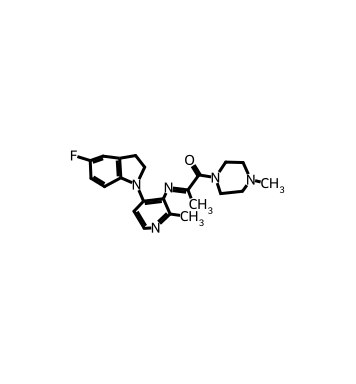 C/C(=N\c1c(N2CCc3cc(F)ccc32)ccnc1C)C(=O)N1CCN(C)CC1